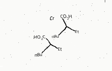 CCCCC(CC)C(=O)O.CCCCC(CC)C(=O)O.[Cr]